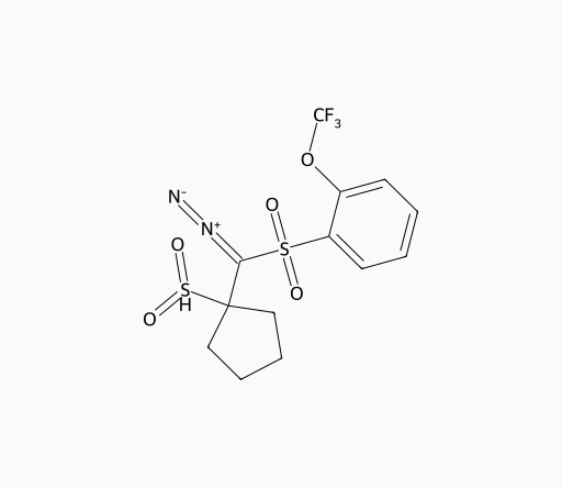 [N-]=[N+]=C(C1([SH](=O)=O)CCCC1)S(=O)(=O)c1ccccc1OC(F)(F)F